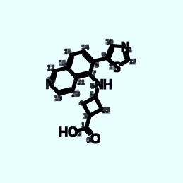 O=C(O)C1CC(Nc2c(-c3cncs3)ccc3cnccc23)C1